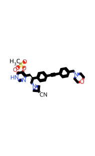 CS(=O)(=O)Oc1c(C[C@H](CN2CC(C#N)C2)c2ccc(C#Cc3ccc(CN4CCOCC4)cc3)cc2)nc[nH]c1=O